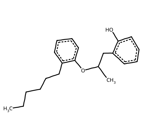 CCCCCCc1ccccc1OC(C)Cc1ccccc1O